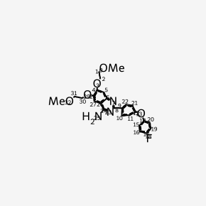 COCCOc1cc2nc(-c3ccc(Oc4ccc(F)cc4)cc3)nc(N)c2cc1OCCOC